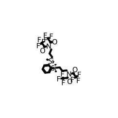 C[Si](C)(CCCN(C(=O)C(F)(F)F)C(=O)C(F)(F)F)c1ccccc1[Si](C)(C)CCCN(C(=O)C(F)(F)F)C(=O)C(F)(F)F